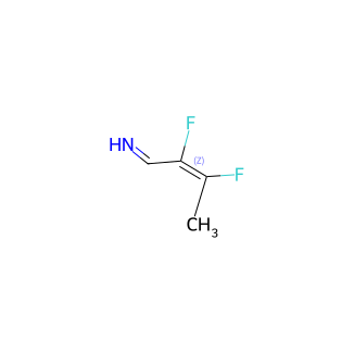 C/C(F)=C(/F)C=N